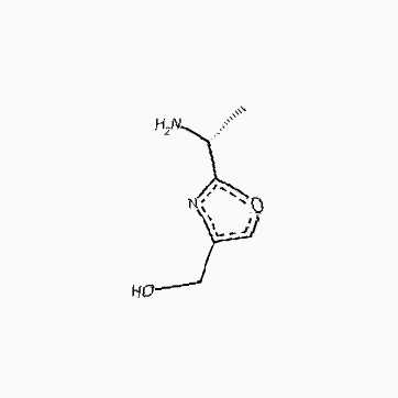 C[C@@H](N)c1nc(CO)co1